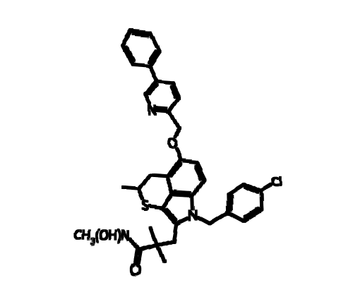 CC1Cc2c(OCc3ccc(-c4ccccc4)cn3)ccc3c2c(c(CC(C)(C)C(=O)N(C)O)n3Cc2ccc(Cl)cc2)S1